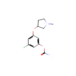 CN1CCC(Oc2cc(Cl)cc(OC(N)=O)c2)C1